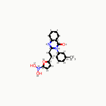 O=c1c2ccccc2nc(/C=C/c2ccc(N(O)O)o2)n1-c1cccc(C(F)(F)F)c1